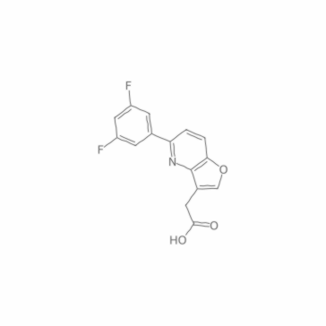 O=C(O)Cc1coc2ccc(-c3cc(F)cc(F)c3)nc12